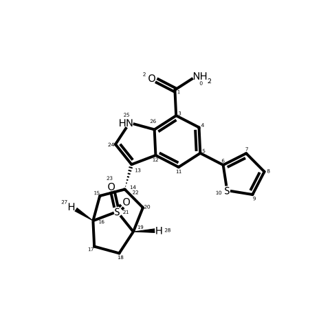 NC(=O)c1cc(-c2cccs2)cc2c([C@H]3C[C@H]4CC[C@@H](C3)S4(=O)=O)c[nH]c12